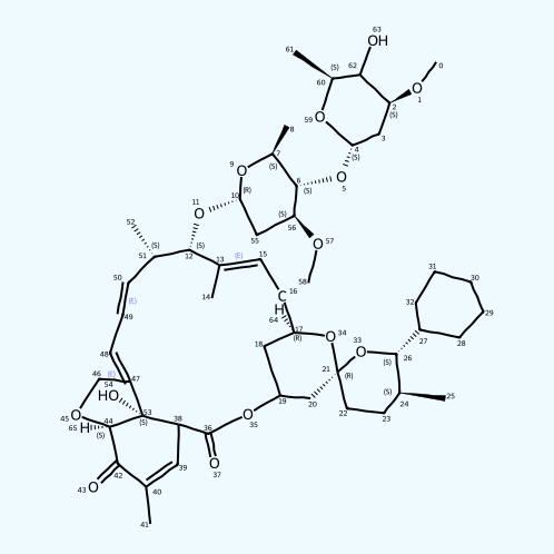 CO[C@H]1C[C@H](O[C@H]2[C@H](C)O[C@@H](O[C@@H]3/C(C)=C/C[C@@H]4CC(C[C@]5(CC[C@H](C)[C@@H](C6CCCCC6)O5)O4)OC(=O)C4C=C(C)C(=O)[C@H]5OC/C(=C\C=C\[C@@H]3C)[C@@]45O)C[C@@H]2OC)O[C@@H](C)C1O